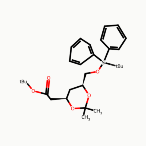 CC(C)(C)OC(=O)C[C@H]1C[C@@H](CO[Si](c2ccccc2)(c2ccccc2)C(C)(C)C)OC(C)(C)O1